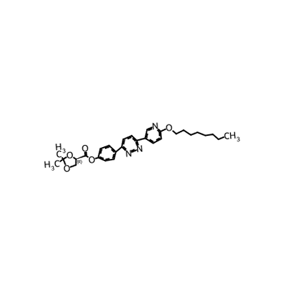 CCCCCCCCOc1ccc(-c2ccc(-c3ccc(OC(=O)[C@H]4COC(C)(C)O4)cc3)nn2)cn1